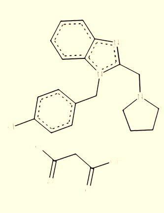 Clc1ccc(Cn2c(CN3CCCC3)nc3ccccc32)cc1.O=C(O)CC(=O)O